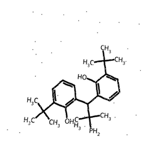 CC(C)(C)c1cccc(C(c2cccc(C(C)(C)C)c2O)C(C)(C)P)c1O